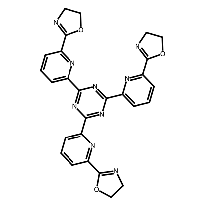 c1cc(C2=NCCO2)nc(-c2nc(-c3cccc(C4=NCCO4)n3)nc(-c3cccc(C4=NCCO4)n3)n2)c1